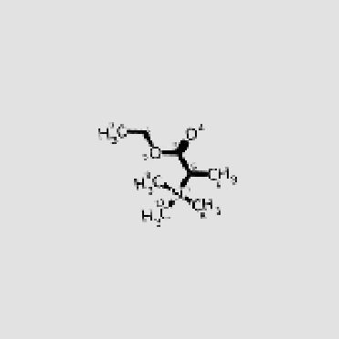 CCOC(=O)C(C)[Si](C)(C)C